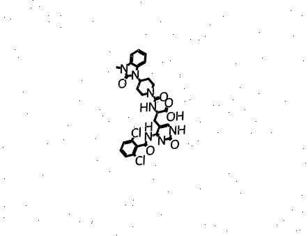 Cn1c(=O)n(C2CCN(C(=O)NC(Cc3c[nH]c(=O)nc3NC(=O)c3c(Cl)cccc3Cl)C(=O)O)CC2)c2ccccc21